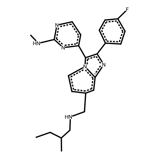 CCC(C)CNCc1ccn2c(-c3ccnc(NC)n3)c(-c3ccc(F)cc3)nc2c1